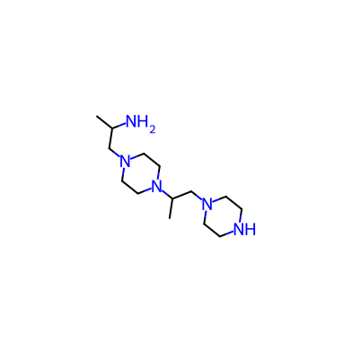 CC(N)CN1CCN(C(C)CN2CCNCC2)CC1